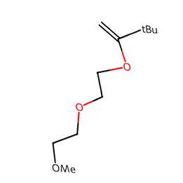 C=C(OCCOCCOC)C(C)(C)C